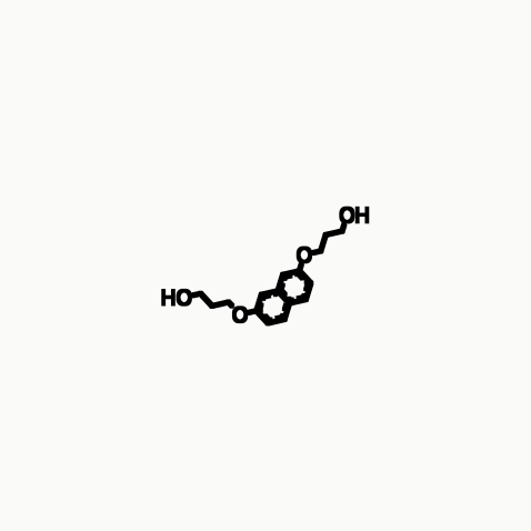 OCCCOc1ccc2ccc(OCCCO)cc2c1